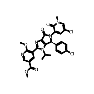 COC(=O)c1cnc(OC)c(-c2nc3c(n2C(C)C)[C@H](c2ccc(Cl)cc2)N(c2cc(Cl)cn(C)c2=O)C3=O)c1